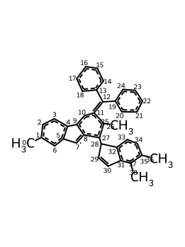 Cc1ccc2c(c1)[C]=c1c-2cc(=C(c2ccccc2)c2ccccc2)c(C)c1C1C=Cc2c1ccc(C)c2C